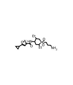 CCC1CN(S(=O)(=O)CCCN)C(CC)CC1NC(=O)c1cc(C2CC2)on1